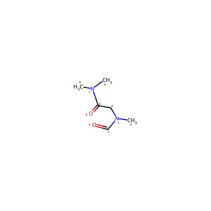 CN(C=O)CC(=O)N(C)C